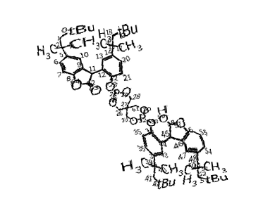 CC(C)(C)CC(C)(C)c1ccc2c(c1)C(c1cc(C(C)(C)CC(C)(C)C)ccc1OP1OCC3(CO1)COP(Oc1ccc(C(C)(C)CC(C)(C)C)cc1C1c4cc(C(C)(C)CC(C)(C)C)ccc4OC1O)OC3)C(=O)O2